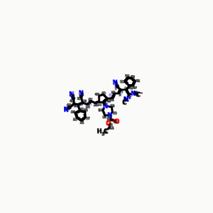 [C-]#[N+]C([N+]#[C-])=C(/C(C#N)=C/C=C/C1=C(N2CCN(C(=O)OCC)CC2)C(=C/C=C/C(C#N)=C(\c2ccccc2)C(C#N)C#N)/CC1)c1ccccc1